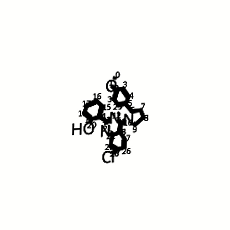 COc1ccc(C2CCCN2c2nc(-c3ccccc3O)nc3cc(Cl)ccc23)cc1